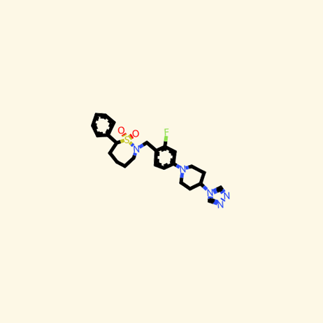 O=S1(=O)C(c2ccccc2)CCCCN1Cc1ccc(N2CCC(n3cnnc3)CC2)cc1F